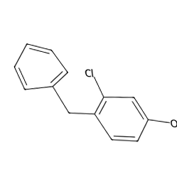 Oc1ccc(Cc2ccccc2)c(Cl)c1